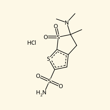 CN(C)C1(C)Cc2cc(S(N)(=O)=O)sc2S1(=O)=O.Cl